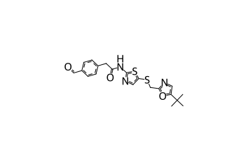 CC(C)(C)c1cnc(CSc2cnc(NC(=O)Cc3ccc(C=O)cc3)s2)o1